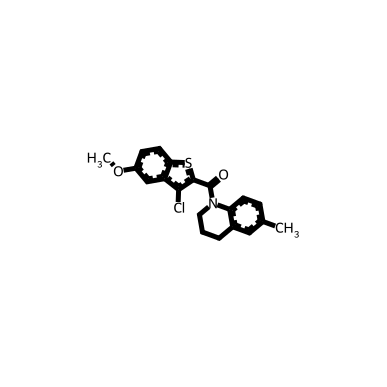 COc1ccc2sc(C(=O)N3CCCc4cc(C)ccc43)c(Cl)c2c1